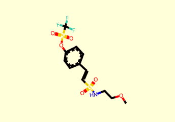 COCCNS(=O)(=O)C=Cc1ccc(OS(=O)(=O)C(F)(F)F)cc1